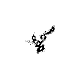 O=C(O)C(C1CCCCC1)N1CC(CN2CCC(CCC(F)(F)c3ccccc3)CC2)C(c2ccccc2)C1